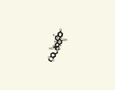 C[C@]12C=CC(=O)C=C1[C@@H](F)C[C@H]1[C@@H]3C[C@H]4CN(CC5=CCC6OCCOC6=C5)O[C@@]4(C(=O)CO)[C@@]3(C)C[C@H](O)[C@@]12F